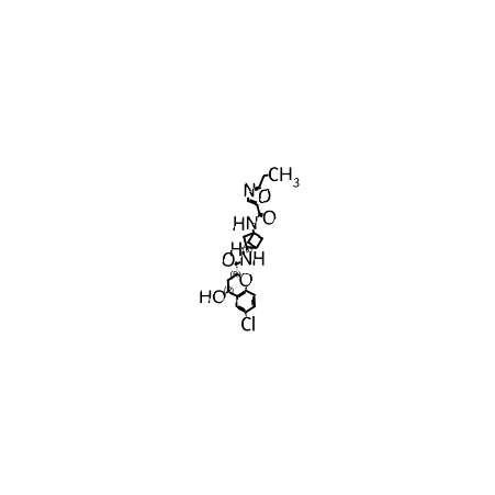 CCc1ncc(C(=O)NC23CC(C2)[C@@H](NC(=O)[C@H]2C[C@@H](O)c4cc(Cl)ccc4O2)C3)o1